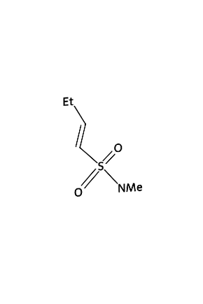 [CH2]CC=CS(=O)(=O)NC